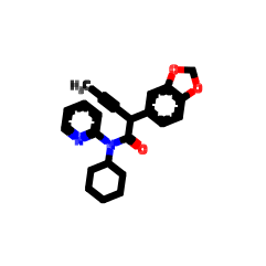 CC#CC(C(=O)N(c1ccccn1)C1CCCCC1)c1ccc2c(c1)OCO2